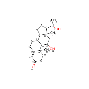 C[C@@H](O)C1CCC2C3CCC4=CC(=O)CCC4(C)C3C(O)CC21C